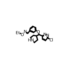 CCON=Cc1cccc(OC(c2ccc(Cl)nn2)C2CCNCC2)c1